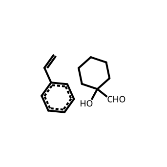 C=Cc1ccccc1.O=CC1(O)CCCCC1